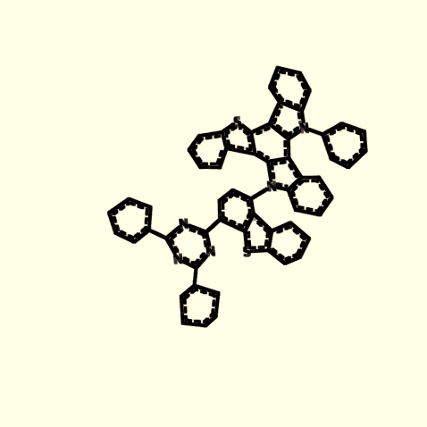 c1ccc(-c2nc(-c3ccccc3)nc(-c3ccc(-n4c5ccccc5c5c6c(c7ccccc7n6-c6ccccc6)c6sc7ccccc7c6c54)c4c3sc3ccccc34)n2)cc1